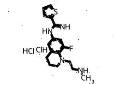 CNCCN1CCCc2cc(NC(=N)c3cccs3)cc(F)c21.Cl.Cl